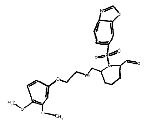 COc1ccc(OCCNCC2CCCC(C=O)N2S(=O)(=O)c2ccc3ncsc3c2)cc1OC